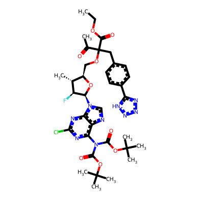 CCOC(=O)C(Cc1ccc(-c2nnn[nH]2)cc1)(OC[C@H]1O[C@@H](n2cnc3c(N(C(=O)OC(C)(C)C)C(=O)OC(C)(C)C)nc(Cl)nc32)[C@@H](F)[C@@H]1C)C(C)=O